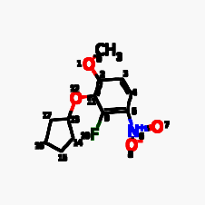 COc1ccc([N+](=O)[O-])c(F)c1OC1CCCC1